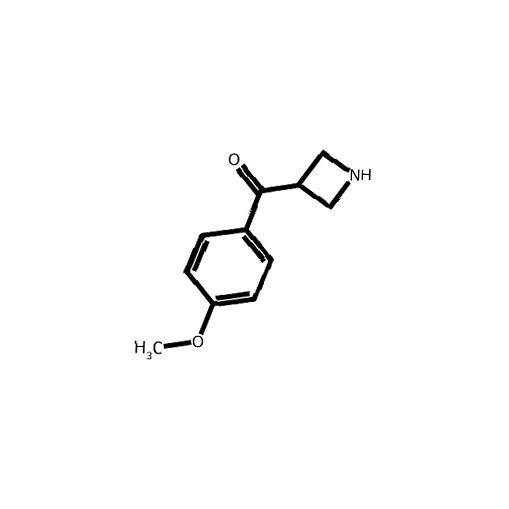 COc1ccc(C(=O)C2CNC2)cc1